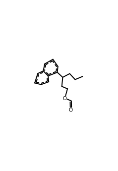 CCCC(CCOC=O)c1cccc2ccccc12